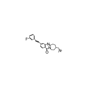 CN(C)CC1CCc2nc3cc(C#Cc4cccc(F)c4)ccc3c(=O)n2CC1